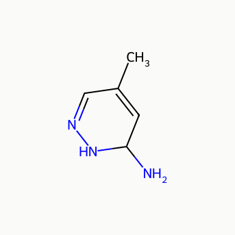 CC1=CC(N)NN=C1